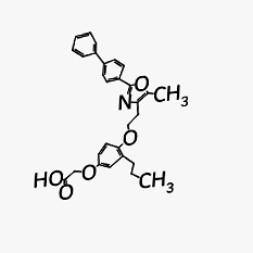 CCCc1cc(OCC(=O)O)ccc1OCCc1nc(-c2ccc(-c3ccccc3)cc2)oc1C